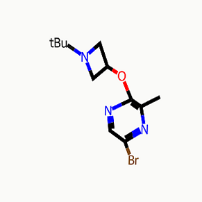 Cc1nc(Br)cnc1OC1CN(C(C)(C)C)C1